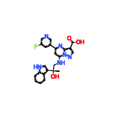 C[C@](O)(CNc1cc(-c2cncc(F)c2)nc2c(C(=O)O)cnn12)c1c[nH]c2ccccc12